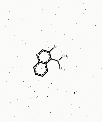 CN(C)c1c(Br)cnc2ccccc12